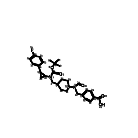 CC(C)(C)OC(=O)N(CC1CCN(N(C=O)Cc2ccc(C(=O)O)cc2)CC1)C1CC1c1ccc(F)cc1